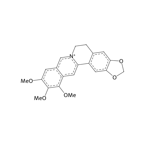 COc1cc2c[n+]3c(cc2c(OC)c1OC)-c1cc2c(cc1CC3)OCO2